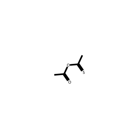 CC(=O)OC(C)=S